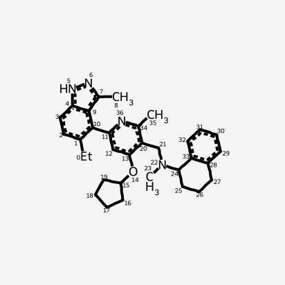 CCc1ccc2[nH]nc(C)c2c1-c1cc(OC2CCCC2)c(CN(C)C2CCCc3ccccc32)c(C)n1